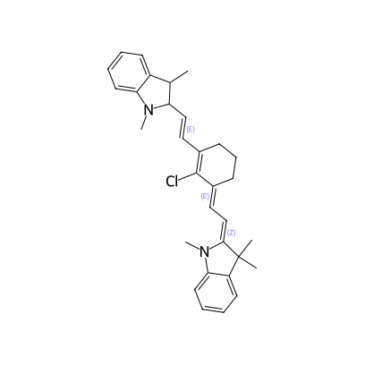 CC1c2ccccc2N(C)C1/C=C/C1=C(Cl)C(=C/C=C2\N(C)c3ccccc3C2(C)C)/CCC1